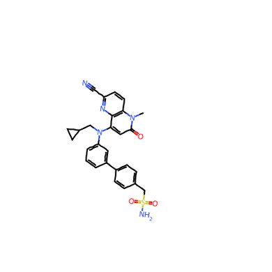 Cn1c(=O)cc(N(CC2CC2)c2cccc(-c3ccc(CS(N)(=O)=O)cc3)c2)c2nc(C#N)ccc21